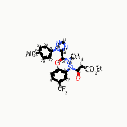 CCOC(=O)CC(=O)N(c1cccc(C(F)(F)F)c1)N(C)C(=O)c1ncnn1-c1ccc(C#N)cc1